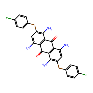 Nc1cc(Sc2ccc(Cl)cc2)c(N)c2c1C(=O)c1c(N)c(Sc3ccc(Cl)cc3)cc(N)c1C2=O